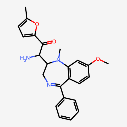 COc1ccc2c(c1)N(C)C(C(N)C(=O)c1ccc(C)o1)CN=C2c1ccccc1